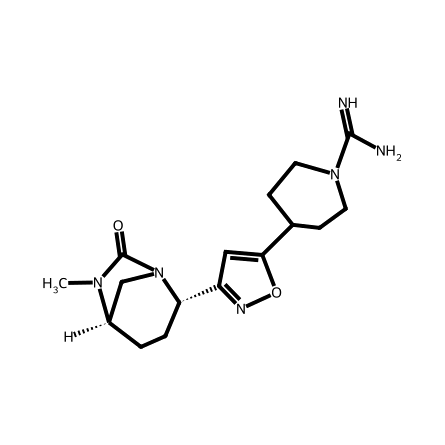 CN1C(=O)N2C[C@H]1CC[C@H]2c1cc(C2CCN(C(=N)N)CC2)on1